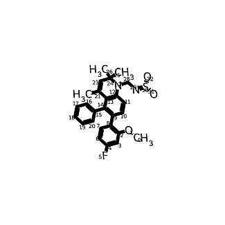 COc1cc(F)ccc1-c1ccc2c(c1-c1ccccc1)C(C)=CC(C)(C)N2CN=S(=O)=O